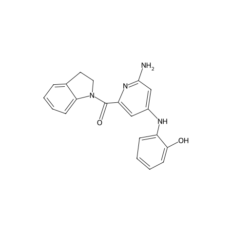 Nc1cc(Nc2ccccc2O)cc(C(=O)N2CCc3ccccc32)n1